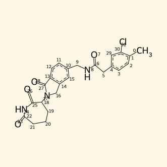 Cc1ccc(CC(=O)NCc2ccc3c(c2)CN(C2CCCC(=O)NC2=O)C3=O)cc1Cl